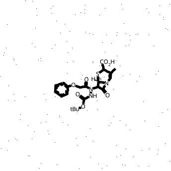 CC1=CN2C(=O)C(N(NC(=O)OC(C)(C)C)C(=O)COc3ccccc3)[C@H]2SC1C(=O)O